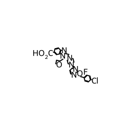 O=C(O)c1ccc2nc(CN3CCN(c4ccnc(OCc5ccc(Cl)cc5F)n4)CC3)n(CC3CCO3)c2c1